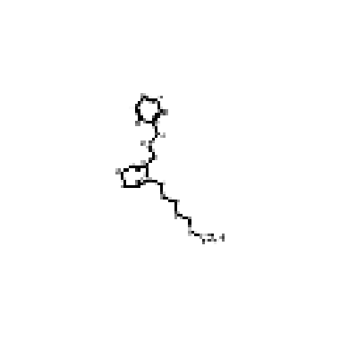 O=C(O)CCCCCCC1C2CCC(O2)C1CSCc1ccccc1